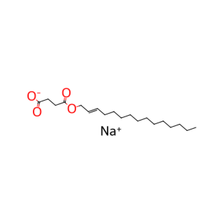 CCCCCCCCCCCCC=CCOC(=O)CCC(=O)[O-].[Na+]